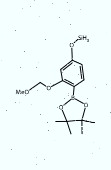 COCOc1cc(O[SiH3])ccc1B1OC(C)(C)C(C)(C)O1